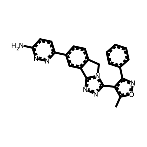 Cc1onc(-c2ccccc2)c1-c1nnc2n1Cc1ccc(-c3ccc(N)nn3)cc1-2